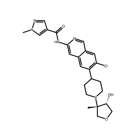 Cn1cc(C(=O)Nc2cc3cc(C4CCN([C@@]5(C)COC[C@H]5O)CC4)c(Cl)cc3cn2)cn1